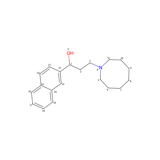 OC(CCN1CCCCCCC1)c1ccc2ccccc2c1